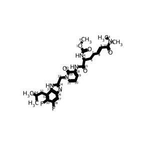 COC(=O)NC(CCC=CC(=O)N(C)C)C(=O)Nc1cccn(Cc2nc3cc(F)c(F)c(CC(C)C)c3[nH]2)c1=O